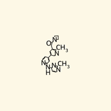 Cc1nccc(Nc2cc(-c3cnc(C)c(C4OC4N4CCC4)c3)ccn2)n1